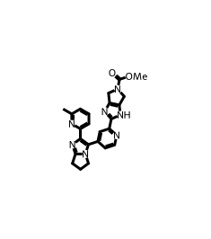 COC(=O)N1Cc2nc(-c3cc(-c4c(-c5cccc(C)n5)nc5n4CCC5)ccn3)[nH]c2C1